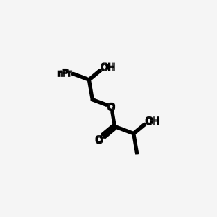 CCCC(O)COC(=O)C(C)O